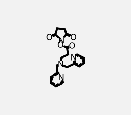 O=C(CCN(Cc1ccccn1)Cc1ccccn1)ON1C(=O)CCC1=O